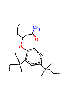 CCC(Oc1ccc(C(C)(C)CC)cc1C(C)(C)CC)C(N)=O